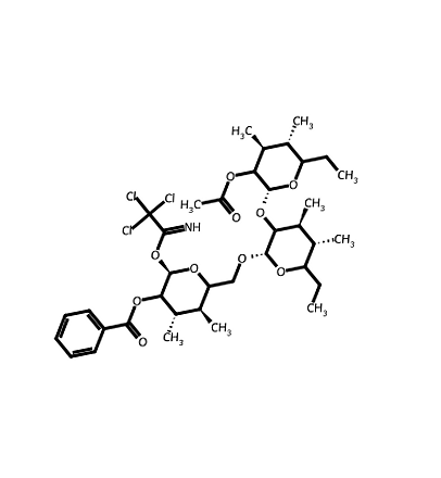 CCC1O[C@H](OC2[C@@H](OCC3O[C@H](OC(=N)C(Cl)(Cl)Cl)C(OC(=O)c4ccccc4)[C@@H](C)[C@@H]3C)OC(CC)[C@@H](C)[C@@H]2C)C(OC(C)=O)[C@@H](C)[C@@H]1C